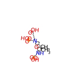 CC1(C)CC(NCCCS(=O)(=O)O)=CC2=C1Cc1ccc(N(CCCCCC(=O)O)CCCS(=O)(=O)O)cc1O2